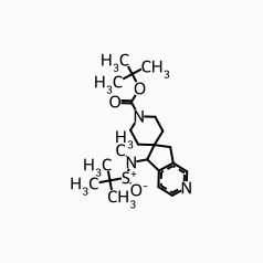 CN(C1c2ccncc2CC12CCN(C(=O)OC(C)(C)C)CC2)[S+]([O-])C(C)(C)C